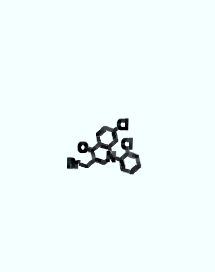 O=c1c(CBr)cn(-c2ccccc2Cl)c2cc(Cl)ccc12